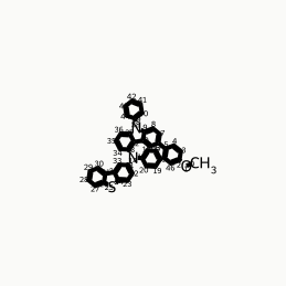 COc1ccc(-c2ccc3c(c2)c2c(N(c4ccccc4)c4ccc5sc6ccccc6c5c4)cccc2n3-c2ccccc2)cc1